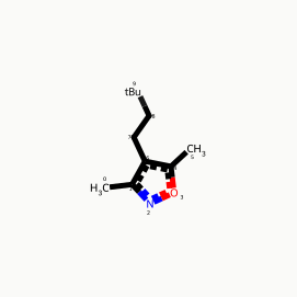 Cc1noc(C)c1CCC(C)(C)C